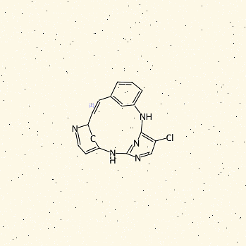 Clc1cnc2nc1Nc1cccc(c1)/C=C\C1CC(=CC=N1)N2